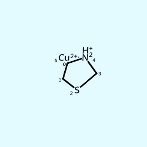 C1CSC[NH2+]1.[Cu+2]